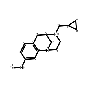 CCNc1ccc2c(c1)N1CCN(CC3CC3)C(C2)C1